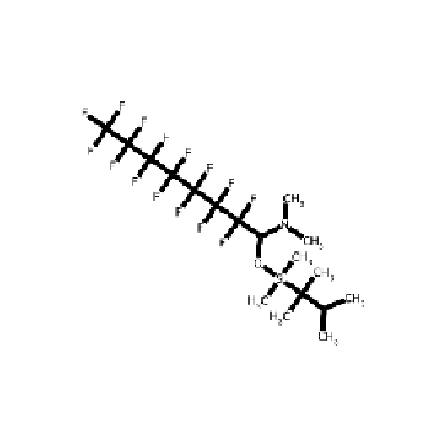 CC(C)C(C)(C)[Si](C)(C)OC(N(C)C)C(F)(F)C(F)(F)C(F)(F)C(F)(F)C(F)(F)C(F)(F)C(F)(F)F